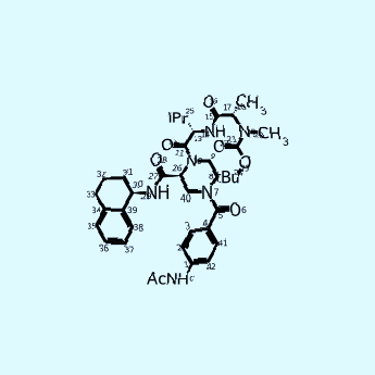 CC(=O)Nc1ccc(C(=O)N2CCN(C(=O)[C@@H](NC(=O)[C@H](C)N(C)C(=O)OC(C)(C)C)C(C)C)[C@H](C(=O)N[C@@H]3CCCc4ccccc43)C2)cc1